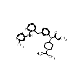 C=CC(=O)N(c1cccc(Cc2cccnc2Nc2ccnc(C)c2)c1)C1CCN(C(C)C)CC1